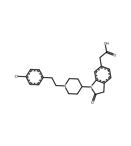 O=C(O)Cc1ccc2c(c1)N(C1CCN(CCc3ccc(Cl)cc3)CC1)C(=O)C2